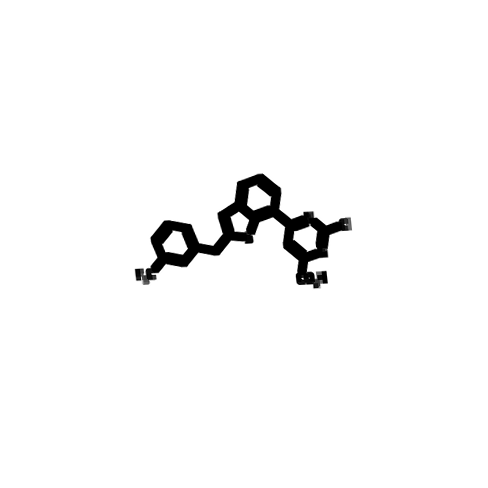 O=C(O)c1cc(-c2cccc3cc(Cc4cccc(C(F)(F)F)c4)sc23)nc(Cl)n1